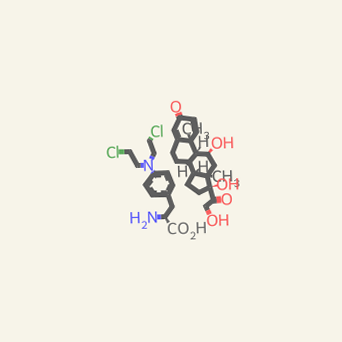 C[C@]12C=CC(=O)C=C1CC[C@@H]1[C@@H]2[C@@H](O)C[C@@]2(C)[C@H]1CC[C@]2(O)C(=O)CO.N[C@@H](Cc1ccc(N(CCCl)CCCl)cc1)C(=O)O